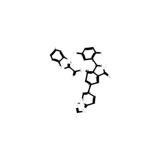 O=C(Nc1cc(-c2ccc3ncnn3c2)cc2c1C(c1cc(F)ccc1Cl)NC2=O)c1nc2ccccc2s1